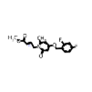 COC(=O)/C=C/Cn1c(C)cc(OCc2ccc(F)cc2F)cc1=O